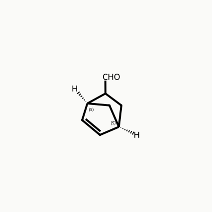 O=CC1C[C@H]2C=C[C@@H]1C2